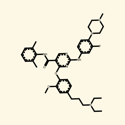 CCN(CC)CCCc1ccc(Oc2nc(Nc3ccc(N4CCN(C)CC4)c(F)c3)ncc2C(=O)Nc2c(C)cccc2C)c(OC)c1